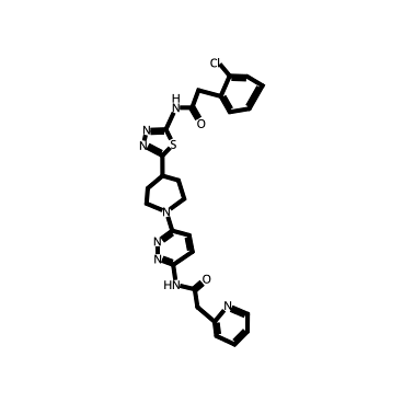 O=C(Cc1ccccn1)Nc1ccc(N2CCC(c3nnc(NC(=O)Cc4ccccc4Cl)s3)CC2)nn1